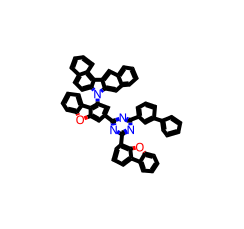 c1ccc(-c2cccc(-c3nc(-c4cc(-n5c6cc7ccccc7cc6c6c7ccccc7ccc65)c5c(c4)oc4ccccc45)nc(-c4cccc5c4oc4ccccc45)n3)c2)cc1